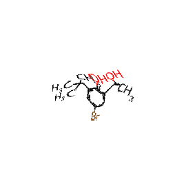 CC(O)c1cc(Br)cc(C(C)(C)C)c1O